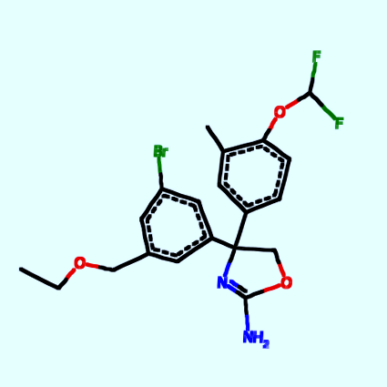 CCOCc1cc(Br)cc(C2(c3ccc(OC(F)F)c(C)c3)COC(N)=N2)c1